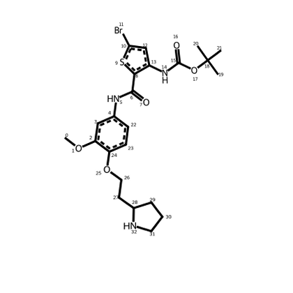 COc1cc(NC(=O)c2sc(Br)cc2NC(=O)OC(C)(C)C)ccc1OCCC1CCCN1